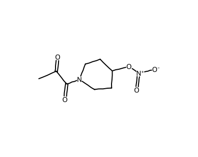 CC(=O)C(=O)N1CCC(O[N+](=O)[O-])CC1